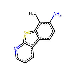 Cc1c(N)ccc2c1sc1ncccc12